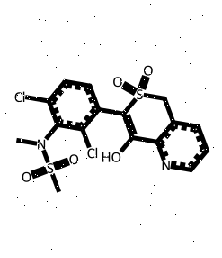 CN(c1c(Cl)ccc(C2=C(O)c3ncccc3CS2(=O)=O)c1Cl)S(C)(=O)=O